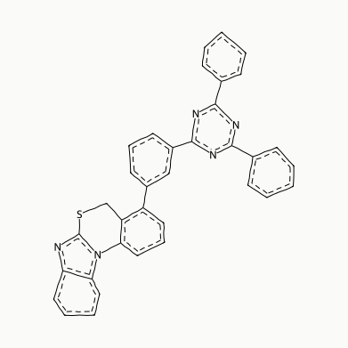 c1ccc(-c2nc(-c3ccccc3)nc(-c3cccc(-c4cccc5c4CSc4nc6ccccc6n4-5)c3)n2)cc1